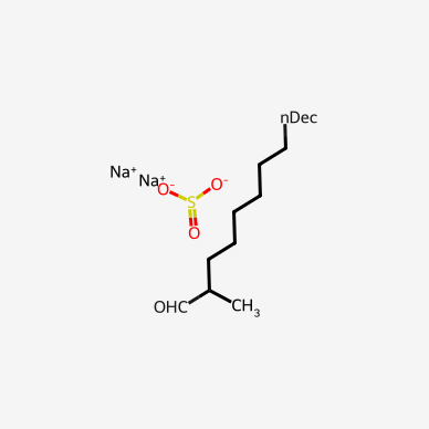 CCCCCCCCCCCCCCCCC(C)C=O.O=S([O-])[O-].[Na+].[Na+]